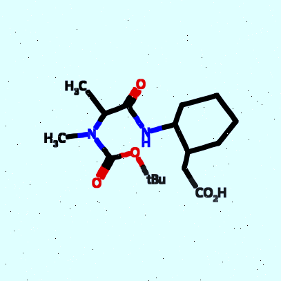 CC(C(=O)NC1CCCCC1CC(=O)O)N(C)C(=O)OC(C)(C)C